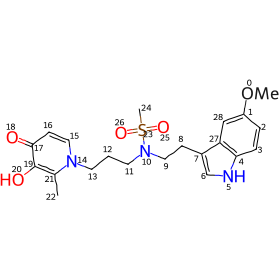 COc1ccc2[nH]cc(CCN(CCCn3ccc(=O)c(O)c3C)S(C)(=O)=O)c2c1